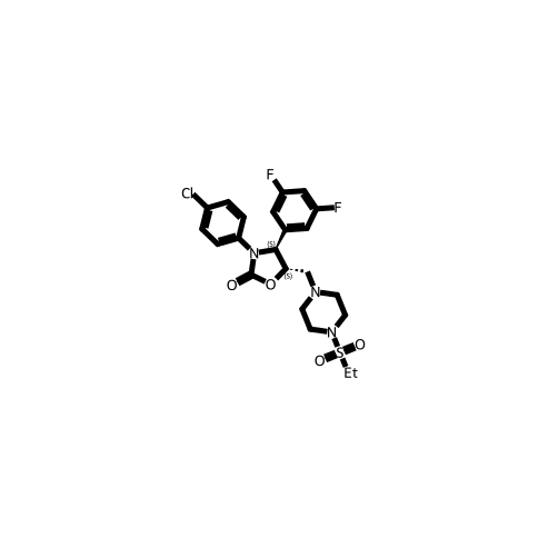 CCS(=O)(=O)N1CCN(C[C@@H]2OC(=O)N(c3ccc(Cl)cc3)[C@H]2c2cc(F)cc(F)c2)CC1